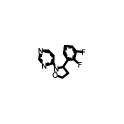 Fc1cccc(C2CCON2c2ccncn2)c1F